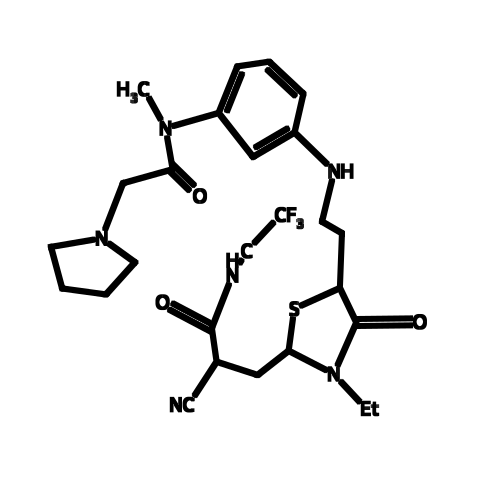 CCN1C(=O)C(CCNc2cccc(N(C)C(=O)CN3CCCC3)c2)SC1CC(C#N)C(=O)NCC(F)(F)F